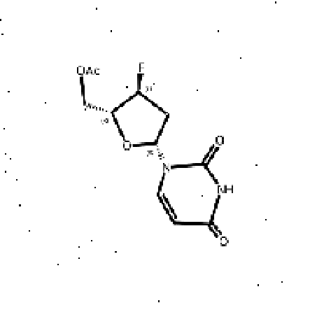 CC(=O)OC[C@H]1O[C@@H](n2ccc(=O)[nH]c2=O)C[C@@H]1F